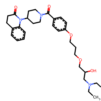 CCN(CC)CC(O)COCCCOc1ccc(C(=O)N2CCC(N3C(=O)CCc4ccccc43)CC2)cc1